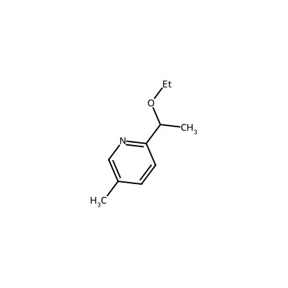 CCOC(C)c1ccc(C)cn1